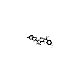 Cc1ccc2nc(-c3nnc4n3CCN(C(=O)c3ccc(Cl)cc3)[C@@H]4C)sc2c1